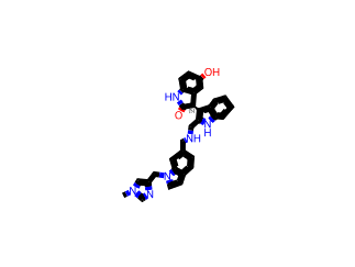 Cn1cnc(Cn2ccc3ccc(CNCc4[nH]c5ccccc5c4[C@H]4C(=O)Nc5ccc(O)cc54)cc32)c1